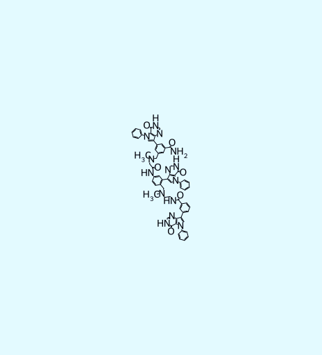 CN(CC(=O)Nc1ccc(CN(C)CCNC(=O)c2cccc(-c3cn(-c4ccccc4)c4c(=O)[nH]cnc34)c2)c(-c2cn(-c3ccccc3)c3c(=O)[nH]cnc23)c1)Cc1cc(C(N)=O)cc(-c2cn(-c3ccccc3)c3c(=O)[nH]cnc23)c1